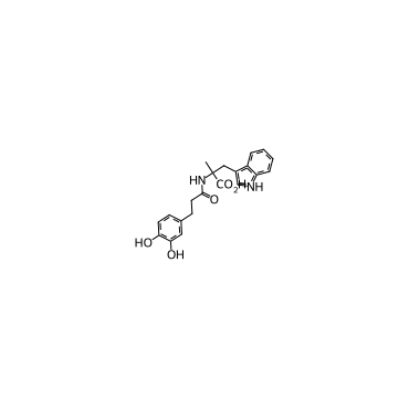 CC(Cc1c[nH]c2ccccc12)(NC(=O)CCc1ccc(O)c(O)c1)C(=O)O